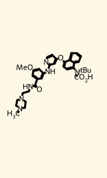 COc1cc(Nc2cc(Oc3ccc(N(C(=O)O)C(C)(C)C)c4ccccc34)ccn2)cc(C(=O)NCCN2CCN(C)CC2)c1